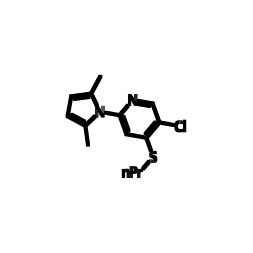 CCCSc1cc(-n2c(C)ccc2C)ncc1Cl